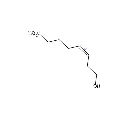 O=C(O)CCC/C=C\CCO